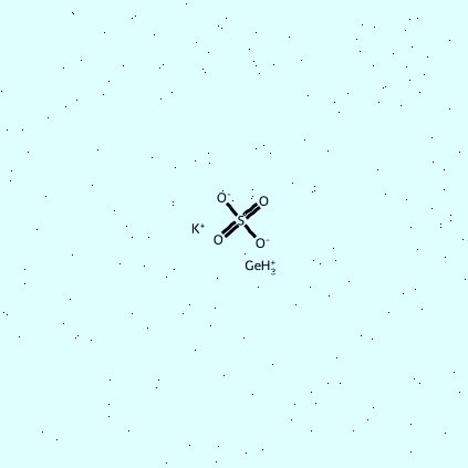 O=S(=O)([O-])[O-].[GeH3+].[K+]